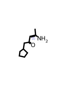 C/C(N)=C/C(=O)CC1CCCC1